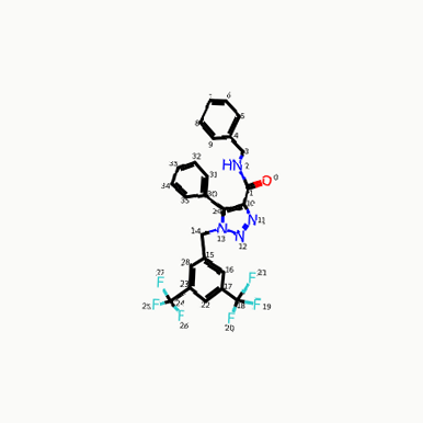 O=C(NCc1ccccc1)c1nnn(Cc2cc(C(F)(F)F)cc(C(F)(F)F)c2)c1-c1ccccc1